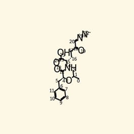 CC(C)O[C@@H](Cc1ccccc1)C(=O)N[C@@H](CCC(=O)C=[N+]=[N-])C(=O)O